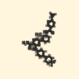 C[C@@H]1[C@H](NC(=O)c2ccc(C3CC3)nc2)CCCN1c1cnc(C(N)=O)c(Nc2ccc(N3CCC(F)(I)CC3)cc2)n1